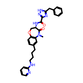 CN1C(=O)[C@H](NC(=O)c2n[nH]c(Cc3ccccc3)n2)COc2ccc(CCCCNc3ccccn3)cc21